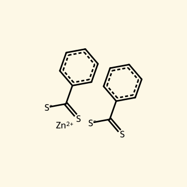 S=C([S-])c1ccccc1.S=C([S-])c1ccccc1.[Zn+2]